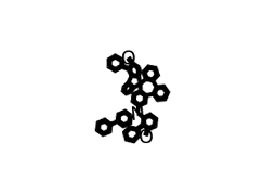 c1ccc(-c2ccc(N(c3ccc4c(c3)-c3ccccc3-c3ccccc3C43c4ccccc4-c4c3ccc3oc5ccccc5c43)c3cccc4oc5ccccc5c34)cc2)cc1